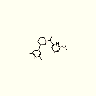 COc1cccc(C(C)N2CCCC(c3cc(C)nc(C)c3)C2)n1